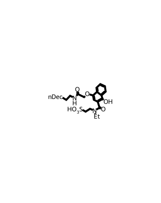 CCCCCCCCCCCCNC(=O)COc1cc(C(=O)N(CC)CCS(=O)(=O)O)c(O)c2ccccc12